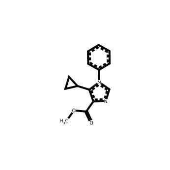 COC(=O)c1ncn(-c2ccccc2)c1C1CC1